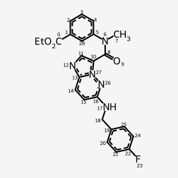 CCOC(=O)c1cccc(N(C)C(=O)c2cnc3ccc(NCc4ccc(F)cc4)nn23)c1